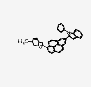 CC1C=Cc2cc(-c3ccc4ccc5cc(-c6cc7ccccc7n6-c6ccccc6)cc6ccc3c4c56)oc2C1